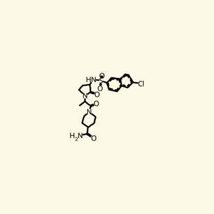 CC(C(=O)N1CCC(C(N)=O)CC1)N1CCC(NS(=O)(=O)c2ccc3cc(Cl)ccc3c2)C1=O